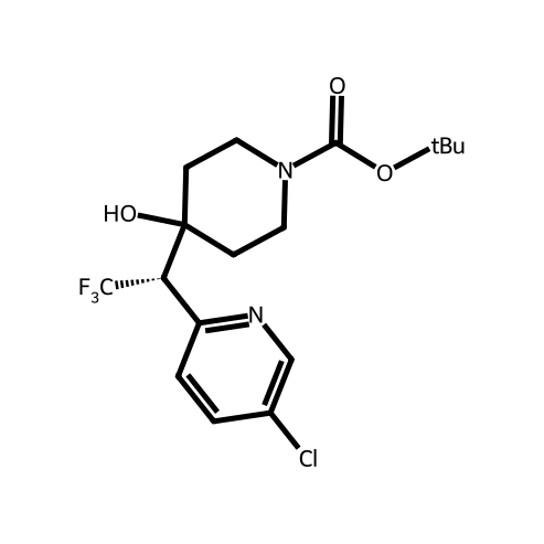 CC(C)(C)OC(=O)N1CCC(O)([C@H](c2ccc(Cl)cn2)C(F)(F)F)CC1